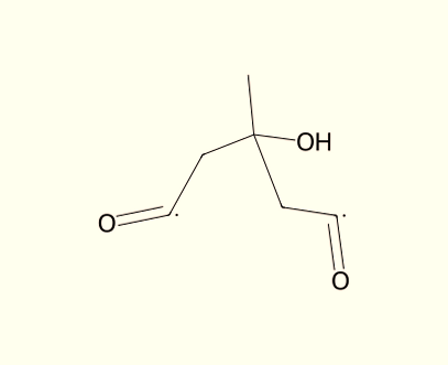 CC(O)(C[C]=O)C[C]=O